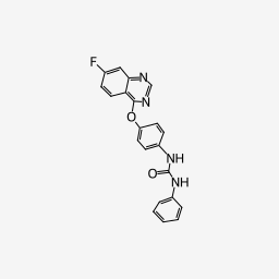 O=C(Nc1ccccc1)Nc1ccc(Oc2ncnc3cc(F)ccc23)cc1